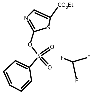 CCOC(=O)c1cnc(OS(=O)(=O)c2ccccc2)s1.FC(F)F